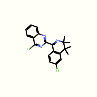 CC1(C)N=C(c2nc(Cl)c3ccccc3n2)c2ccc(Cl)cc2C1(C)C